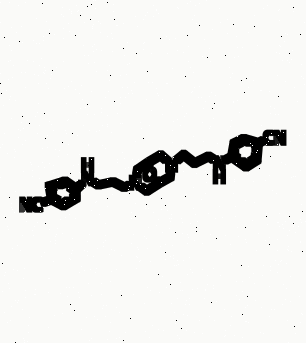 N#Cc1ccc(NCCCN2CC3CN(CCCNc4ccc(C#N)cc4)CC(C2)O3)cc1